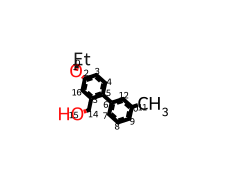 CCOc1ccc(-c2cccc(C)c2)c(CO)c1